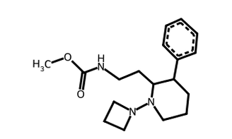 COC(=O)NCCC1C(c2ccccc2)CCCN1N1CCC1